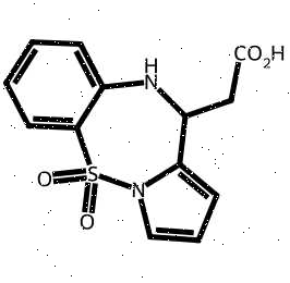 O=C(O)CC1Nc2ccccc2S(=O)(=O)n2cccc21